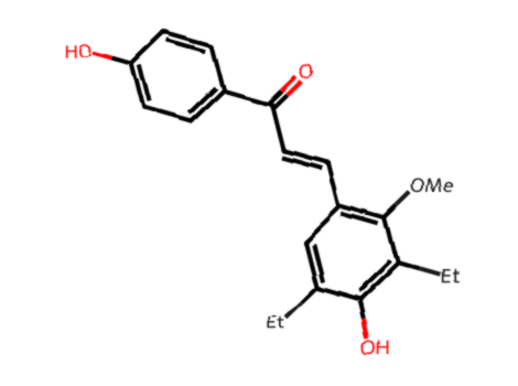 CCc1cc(/C=C/C(=O)c2ccc(O)cc2)c(OC)c(CC)c1O